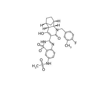 Cc1cc(CN2C(=O)C(C3=Nc4ccc(NS(C)(=O)=O)cc4S(=O)(=O)N3)=C(O)[C@@H]3[C@@H]4CC[C@@H](C4)[C@@H]32)ccc1F